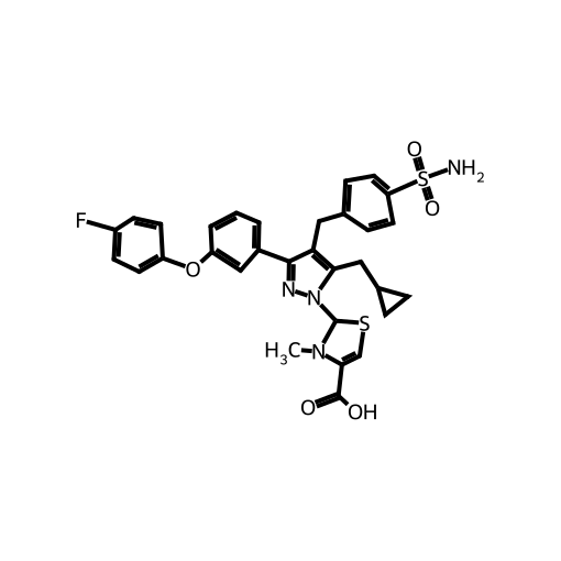 CN1C(C(=O)O)=CSC1n1nc(-c2cccc(Oc3ccc(F)cc3)c2)c(Cc2ccc(S(N)(=O)=O)cc2)c1CC1CC1